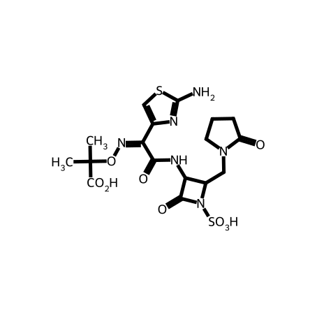 CC(C)(O/N=C(\C(=O)NC1C(=O)N(S(=O)(=O)O)C1CN1CCCC1=O)c1csc(N)n1)C(=O)O